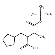 CC(C(=O)OC(C)(C)C)C(CC1CCCC1)C(=O)O